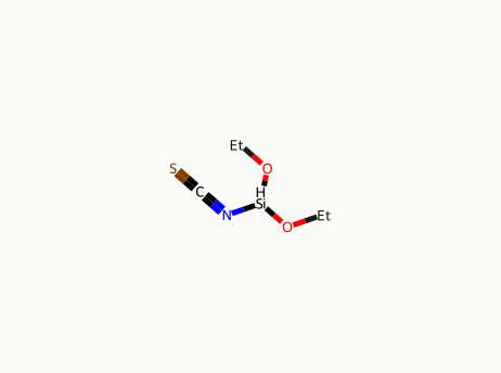 CCO[SiH](N=C=S)OCC